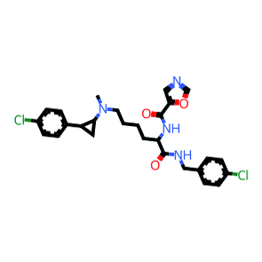 CN(CCCCC(NC(=O)c1cnco1)C(=O)NCc1ccc(Cl)cc1)C1CC1c1ccc(Cl)cc1